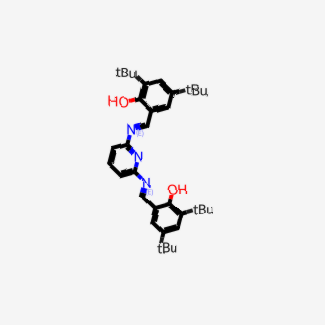 CC(C)(C)c1cc(/C=N/c2cccc(/N=C/c3cc(C(C)(C)C)cc(C(C)(C)C)c3O)n2)c(O)c(C(C)(C)C)c1